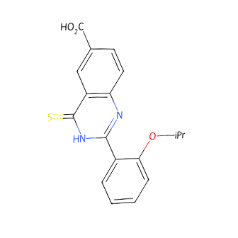 CC(C)Oc1ccccc1-c1nc2ccc(C(=O)O)cc2c(=S)[nH]1